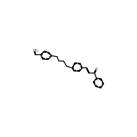 C=Cc1ccc(CCCCc2ccc(C=CC(=O)c3ccccc3)cc2)cc1